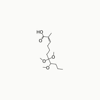 CCCC(OC)C(CCCC=C(C)C(=O)O)(OC)OC